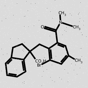 Cc1cc(Br)c(CC2(C(=O)O)CCc3ccccc32)c(C(=O)N(C)C)c1